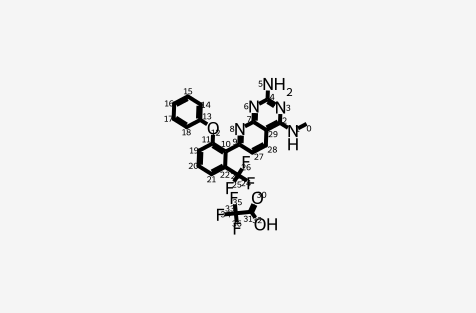 CNc1nc(N)nc2nc(-c3c(Oc4ccccc4)cccc3C(F)(F)F)ccc12.O=C(O)C(F)(F)F